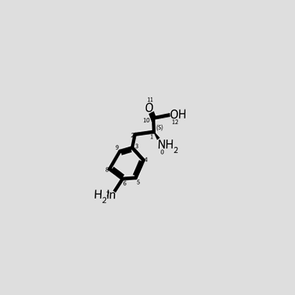 N[C@@H](Cc1cc[c]([InH2])cc1)C(=O)O